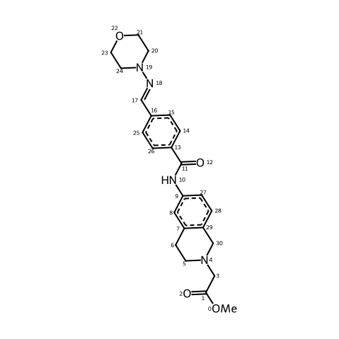 COC(=O)CN1CCc2cc(NC(=O)c3ccc(C=NN4CCOCC4)cc3)ccc2C1